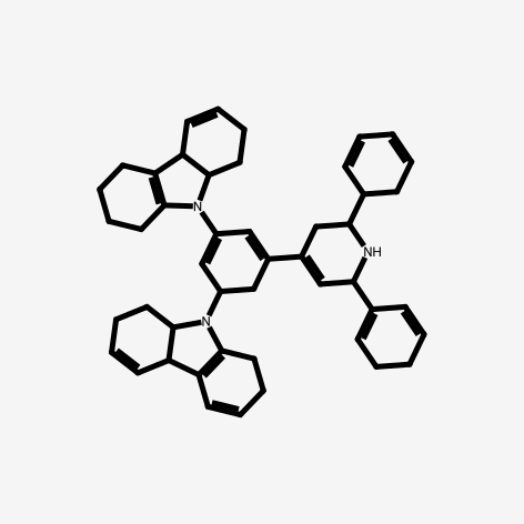 C1=CCC(C2CC(C3=CC(N4C5=C(CCCC5)C5C=CCCC54)=CC(N4C5=C(C=CCC5)C5C=CCCC54)C3)=CC(C3=CCCC=C3)N2)C=C1